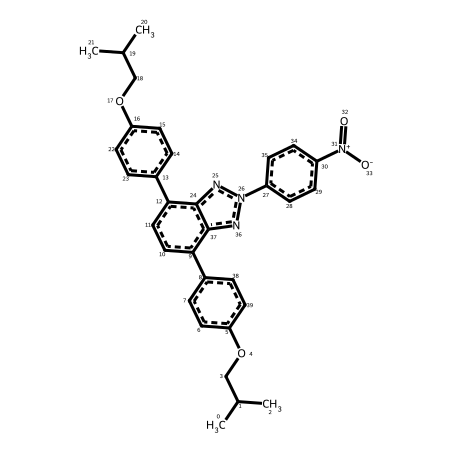 CC(C)COc1ccc(-c2ccc(-c3ccc(OCC(C)C)cc3)c3nn(-c4ccc([N+](=O)[O-])cc4)nc23)cc1